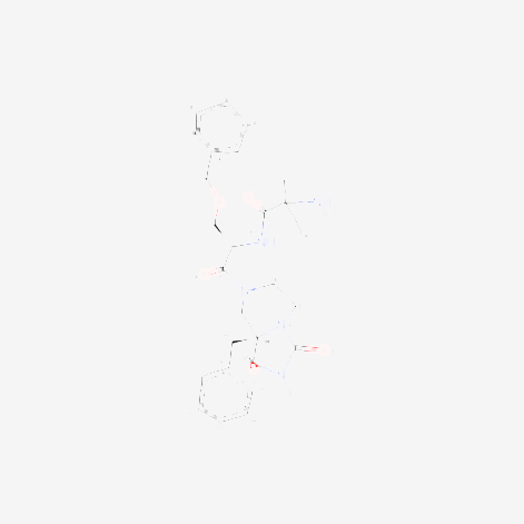 CN1C(=O)N2CCN(C(=O)[C@@H](COCc3ccccc3)NC(=O)C(C)(C)N)C[C@@]2(Cc2ccccc2)C1=O